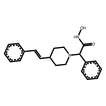 O=C(NO)C(c1ccccc1)N1CCC(C=Cc2ccccc2)CC1